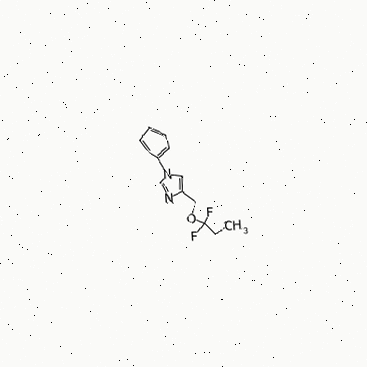 CCC(F)(F)OCc1cn(-c2ccccc2)cn1